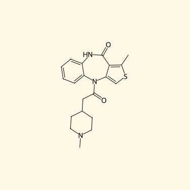 Cc1scc2c1C(=O)Nc1ccccc1N2C(=O)CC1CCN(C)CC1